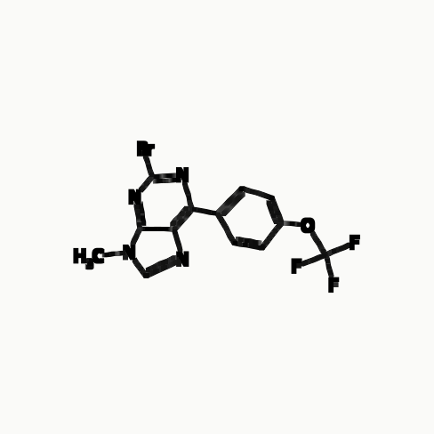 Cn1cnc2c(-c3ccc(OC(F)(F)F)cc3)nc(Br)nc21